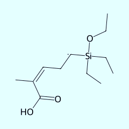 CCO[Si]([CH]CC=C(C)C(=O)O)(CC)CC